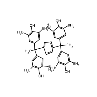 Bc1cc(C(C)(c2ccc(C(C)(c3cc(B)c(O)c(B)c3)c3cc(B)c(O)c(B)c3)cc2)c2cc(B)c(O)c(B)c2)cc(B)c1O